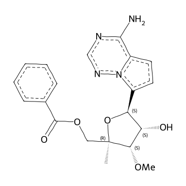 CO[C@H]1[C@@H](O)[C@H](c2ccc3c(N)ncnn23)O[C@]1(C)COC(=O)c1ccccc1